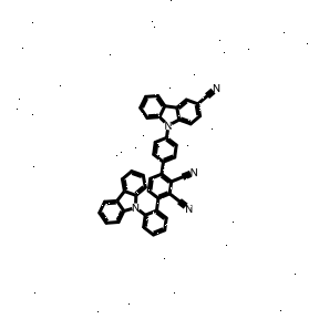 N#Cc1ccc2c(c1)c1ccccc1n2-c1ccc(-c2ccc(-c3ccccc3-n3c4ccccc4c4ccccc43)c(C#N)c2C#N)cc1